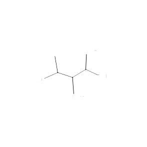 CCCCCCCC(P)C(CCCCC)C(CC)CCCC